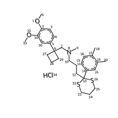 COc1ccc(C2(CN(C)CCCC3(c4ccc(C)c(C)c4)SCCCS3)CCC2)cc1OC.Cl